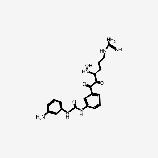 N=C(N)NCCC[C@H](NO)C(=O)C(=O)c1cccc(NC(=O)Nc2cccc(N)c2)c1